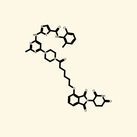 Cc1nc(Nc2ncc(C(=O)Nc3c(C)cccc3Cl)s2)cc(N2CCN(C(=O)CCCCCOc3cccc4c3C(=O)N(C3CCC(=O)NC3=O)C4=O)CC2)n1